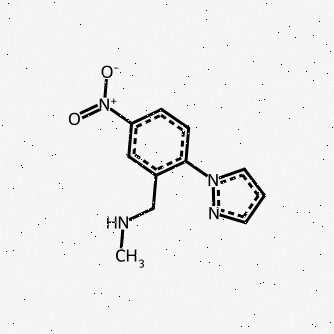 CNCc1cc([N+](=O)[O-])ccc1-n1cccn1